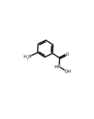 Nc1cccc(C(=O)NO)c1